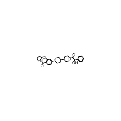 O=C(c1ccc(N2CCC(C3CCN(C(=O)C(O)c4ccccc4)CC3)CC2)cc1Cl)N1CCCC1